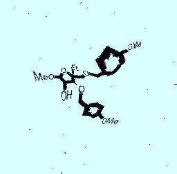 CC[C@]1(COCc2ccc(OC)cc2)OC(OC)C(O)[C@H]1OCc1ccc(OC)cc1